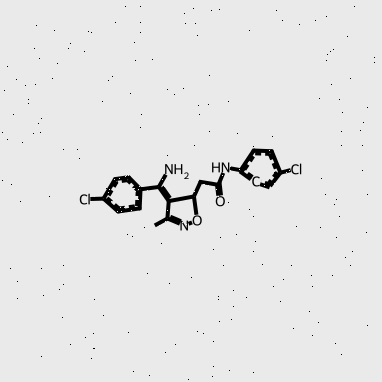 CC1=NOC(CC(=O)Nc2ccc(Cl)cc2)C1=C(N)c1ccc(Cl)cc1